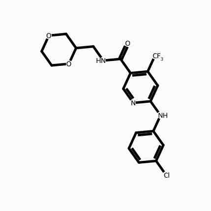 O=C(NCC1COCCO1)c1cnc(Nc2cccc(Cl)c2)cc1C(F)(F)F